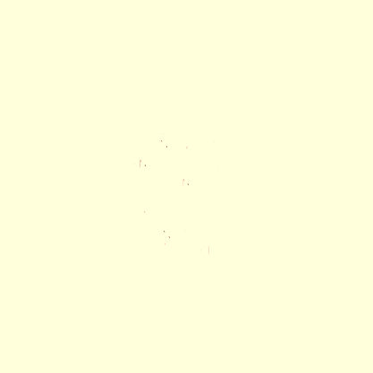 CC(C)(C)c1nnc2cnc(Cl)cn12